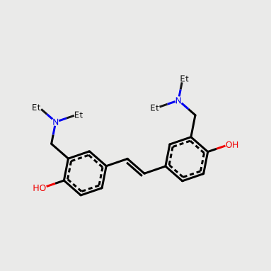 CCN(CC)Cc1cc(C=Cc2ccc(O)c(CN(CC)CC)c2)ccc1O